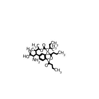 CCCC(=O)Oc1ccc(C(C(C)C(C)OC(=O)OC(C)CC)[C@H](N)C(=O)O)cc1OC(=O)CCC